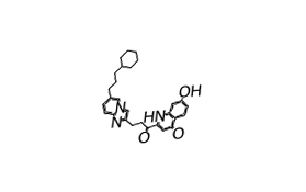 O=C(CCc1cn2cc(CCCC3CCCCC3)ccc2n1)c1cc(=O)c2ccc(O)cc2[nH]1